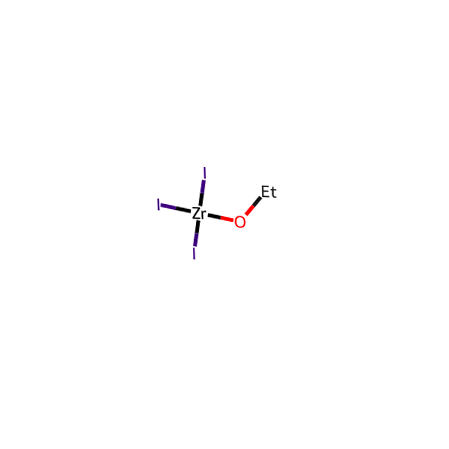 CC[O][Zr]([I])([I])[I]